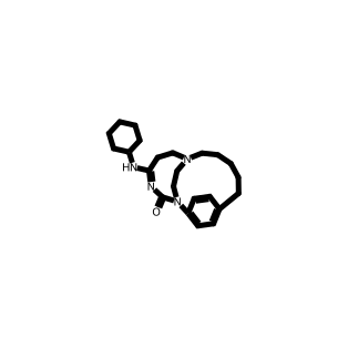 O=C1/N=C(/NC2CCCCC2)CCN2CCCCCc3ccc(cc3)N1CC2